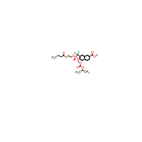 CCCC(=O)SCCOP(=O)(OCOC(=O)OC(C)C)C(F)(F)c1ccc2ccc(C(=O)OF)cc2c1